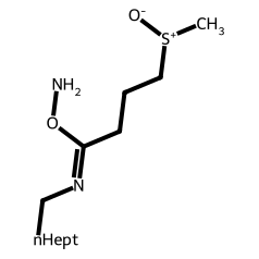 CCCCCCCCN=C(CCC[S+](C)[O-])ON